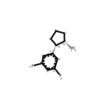 N[C@H]1CCC[C@H]1c1cc(F)cc(F)c1